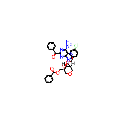 Nc1nc(C(=O)c2ccccc2)nc2c1ncn2[C@@H]1O[C@@]2(COC(=O)c3ccccc3)COC[C@@H]1[C@@H]2OCc1ccc(Cl)cc1